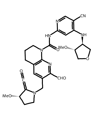 CO[C@H]1CCN(Cc2cc3c(nc2C=O)N(C(=O)Nc2cc(N[C@H]4COC[C@@H]4OC)c(C#N)cn2)CCC3)C1=C=O